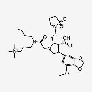 CCCCN(CCC[N+](C)(C)C)C(=O)CN1C[C@H](c2cc(OC)c3c(c2)OCO3)[C@@H](C(=O)O)[C@@H]1CCN1CCCS1(=O)=O